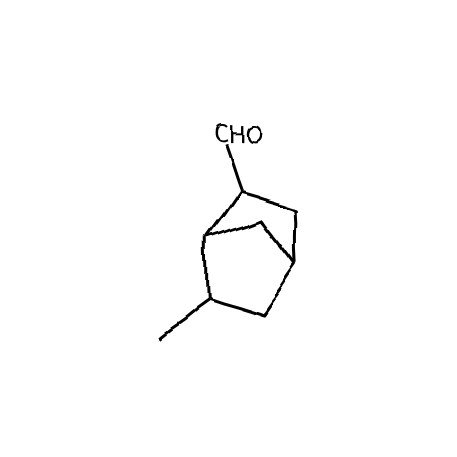 CC1CC2CC(C=O)C1C2